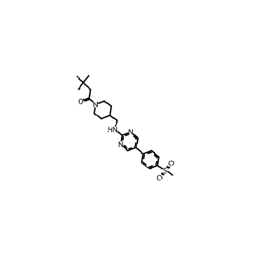 CC(C)(C)CC(=O)N1CCC(CNc2ncc(-c3ccc(S(C)(=O)=O)cc3)cn2)CC1